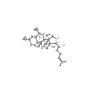 CC(C)=CCC[C@@H](C)[C@H]1CC[C@H]2[C@@H]3CC(O)C4CC(O)CC[C@]4(C)[C@H]3CC[C@]12C